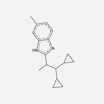 Cc1ccc2nc(C(C)C(C3CC3)C3CC3)[nH]c2c1